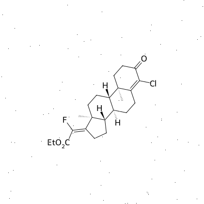 CCOC(=O)C(F)=C1CC[C@H]2[C@@H]3CCC4=C(Cl)C(=O)CC[C@]4(C)[C@H]3CC[C@]12C